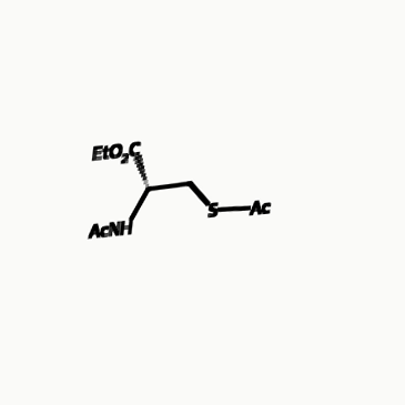 CCOC(=O)[C@H](CSC(C)=O)NC(C)=O